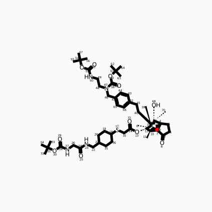 C[C@@H]1CC[C@@]23CCC(=O)C2[C@]1(C)[C@H](OC(=O)CSC1CCC(CNC(=O)CNC(=O)OC(C)(C)C)CC1)C[C@](C)(CCc1ccc(CN(CCNC(=O)OC(C)(C)C)C(=O)OC(C)(C)C)cc1)[C@@H](O)[C@@H]3C